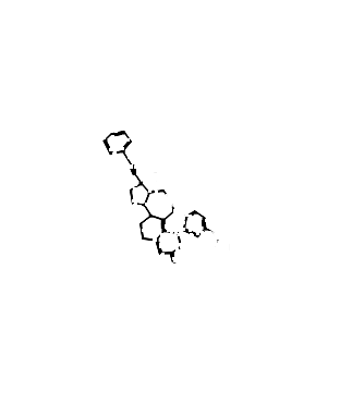 COc1ccc([C@H]2OC[C@@]3(C)C(CC[C@@]3(O)C#Cc3ccccc3)C3CCC4=CC(=O)CCC4=C32)cc1